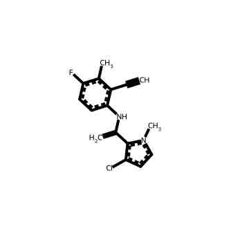 C#Cc1c(NC(=C)c2c(Cl)ccn2C)ccc(F)c1C